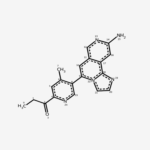 CCC(=O)c1cc(C)c(-c2cc3cnc(N)cc3c3nccn23)cn1